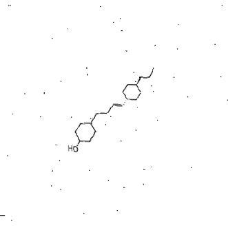 CCC[C@H]1CC[C@H](C=CCCC2CCC(O)CC2)CC1